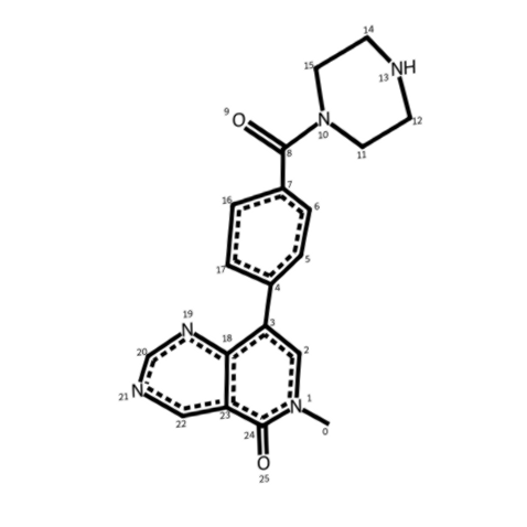 Cn1cc(-c2ccc(C(=O)N3CCNCC3)cc2)c2ncncc2c1=O